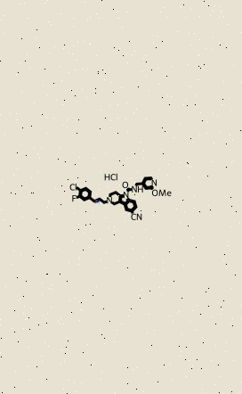 COc1cc(CNC(=O)n2c3c(c4cc(C#N)ccc42)CN(C/C=C/c2ccc(Cl)c(F)c2)CC3)ccn1.Cl